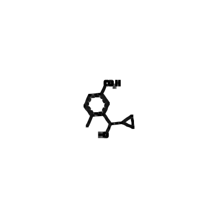 Cc1ccc(C(=O)O)cc1C(O)C1CC1